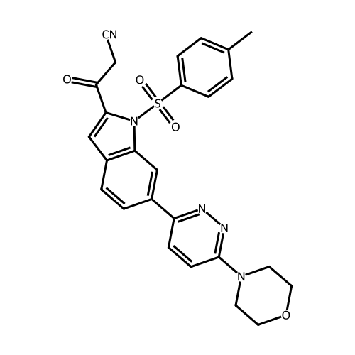 Cc1ccc(S(=O)(=O)n2c(C(=O)CC#N)cc3ccc(-c4ccc(N5CCOCC5)nn4)cc32)cc1